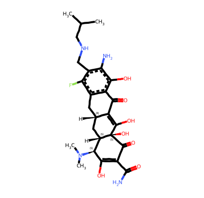 CC(C)CNCc1c(N)c(O)c2c(c1F)C[C@H]1C[C@H]3[C@H](N(C)C)C(O)=C(C(N)=O)C(=O)[C@@]3(O)C(O)=C1C2=O